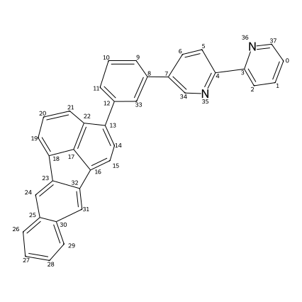 c1ccc(-c2ccc(-c3cccc(-c4ccc5c6c(cccc46)-c4cc6ccccc6cc4-5)c3)cn2)nc1